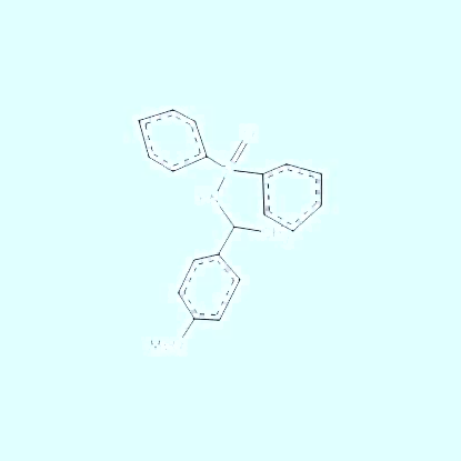 COc1ccc(C(C)NP(=O)(c2ccccc2)c2ccccc2)cc1